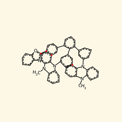 CN1c2ccccc2N(c2cccc(-c3cccc(-c4ccc(-c5nc6ccccc6o5)cc4)c3-c3cccc(N4c5ccccc5N(C)c5ccccc54)c3)c2)c2ccccc21